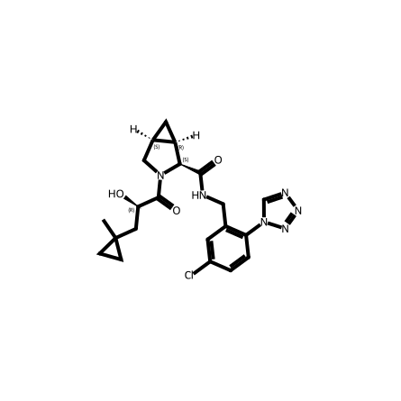 CC1(C[C@@H](O)C(=O)N2C[C@H]3C[C@H]3[C@H]2C(=O)NCc2cc(Cl)ccc2-n2cnnn2)CC1